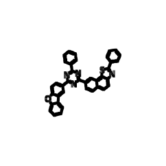 c1ccc(-c2nc(-c3ccc4oc5ccccc5c4c3)nc(-c3ccc4ccc5nc(-c6ccccc6)sc5c4c3)n2)cc1